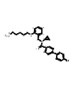 CCc1ccc(-c2ccc(C(=O)N(Cc3ccccc3OCCCCCC(=O)O)C3CC3)cc2)cc1